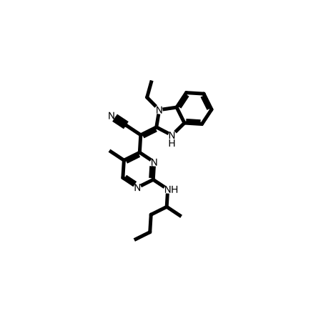 CCCC(C)Nc1ncc(C)c(/C(C#N)=C2\Nc3ccccc3N2CC)n1